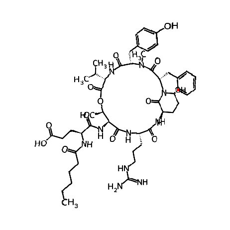 CCCCCC(=O)N[C@@H](CCC(=O)O)C(=O)N[C@@H]1C(=O)N[C@@H](CCCNC(=N)N)C(=O)N[C@H]2CC[C@@H](O)N(C2=O)[C@@H](Cc2ccccc2)C(=O)N(C)[C@@H](Cc2ccc(O)cc2)C(=O)N[C@@H](C(C)C)C(=O)O[C@@H]1C